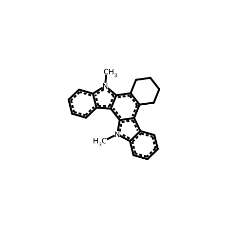 Cn1c2ccccc2c2c1c1c(c3c4ccccc4n(C)c32)CCCC1